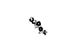 COc1cc(Nc2cccc3c2nc(CC2CCOCC2)n3C)ccc1-n1cnc(C)c1